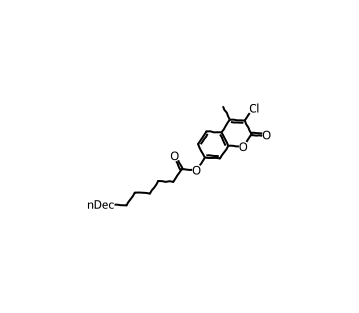 CCCCCCCCCCCCCCCC(=O)Oc1ccc2c(C)c(Cl)c(=O)oc2c1